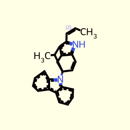 C/C=C\c1[nH]c2c3c1C(C)C(n1c4ccccc4c4ccccc41)(C=C2)C3